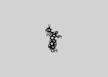 C=C(NC12CC[C@]3(C)C(CC[C@@H]4C5(C)CC[C@H](O)C(C)(C)[C@@H]5CCC43C)C1C(C(C)C)C(=O)C2)c1cncc(C)c1